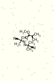 C=C(C)C(=O)OC.CC(C)(C#N)N=NC(C)(C)C#N